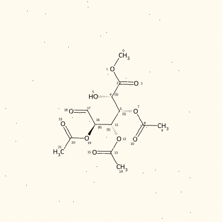 COC(=O)[C@@H](O)[C@H](OC(C)=O)[C@H](OC(C)=O)[C@H](C=O)OC(C)=O